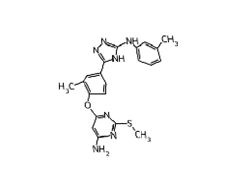 CSc1nc(N)cc(Oc2ccc(-c3nnc(Nc4cccc(C)c4)[nH]3)cc2C)n1